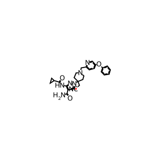 N#CCC1(n2cc(C(N)=O)c(NC(=O)C3CC3)n2)CCN(Cc2ccc(Oc3ccccc3)cn2)CC1